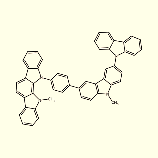 Cn1c2ccc(-c3ccc(-n4c5ccccc5c5ccc6c7ccccc7n(C)c6c54)cc3)cc2c2cc(-n3c4ccccc4c4ccccc43)ccc21